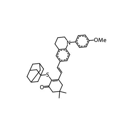 COc1ccc(N2CCCc3cc(/C=C/C4=C(SC56CC7CC(CC(C7)C5)C6)C(=O)CC(C)(C)C4)ccc32)cc1